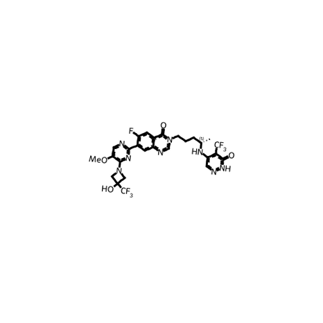 COc1cnc(-c2cc3ncn(CCC[C@H](C)Nc4cn[nH]c(=O)c4C(F)(F)F)c(=O)c3cc2F)nc1N1CC(O)(C(F)(F)F)C1